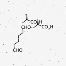 C=C(C)C(=O)O.C=C(C)C(=O)O.O=CCCCCC=O